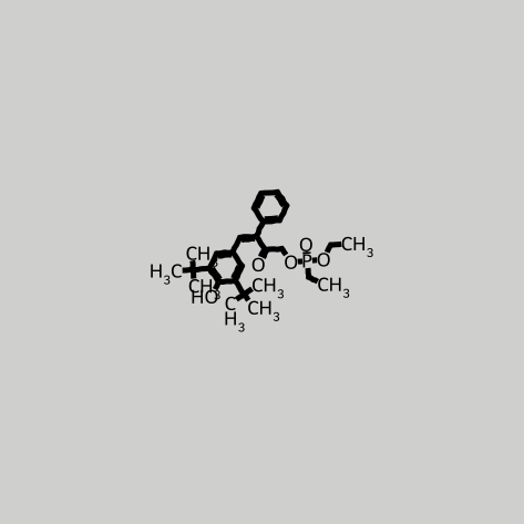 CCOP(=O)(CC)OCC(=O)C(=Cc1cc(C(C)(C)C)c(O)c(C(C)(C)C)c1)c1ccccc1